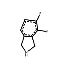 Fc1ccc2c(c1F)CNC2